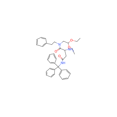 CCOC(CN(CCc1ccccc1)C(=O)C(N)CC(=O)NC(c1ccccc1)(c1ccccc1)c1ccccc1)OCC